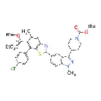 CCOC(=O)[C@@H](OC(C)(C)C)c1c(C)cc2nc(-c3ccc4c(c3)c(C3CCN(C(=O)OC(C)(C)C)CC3)nn4C)sc2c1-c1ccc(Cl)cc1